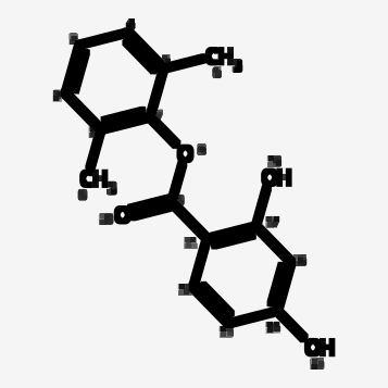 Cc1cccc(C)c1OC(=O)c1ccc(O)cc1O